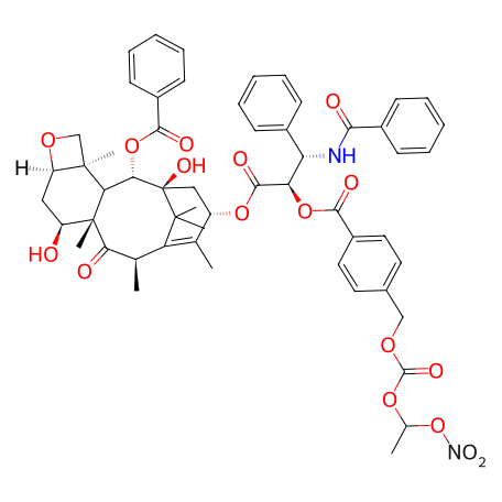 CC1=C2[C@@H](C)C(=O)[C@@]3(C)C([C@H](OC(=O)c4ccccc4)[C@](O)(C[C@@H]1OC(=O)[C@H](OC(=O)c1ccc(COC(=O)OC(C)O[N+](=O)[O-])cc1)[C@@H](NC(=O)c1ccccc1)c1ccccc1)C2(C)C)[C@]1(C)CO[C@@H]1C[C@@H]3O